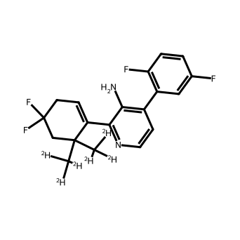 [2H]C([2H])([2H])C1(C([2H])([2H])[2H])CC(F)(F)CC=C1c1nccc(-c2cc(F)ccc2F)c1N